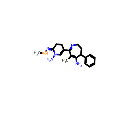 CP/N=C1/CCC(C2=NCCC(c3ccccc3)C(N)=C2C)=CN1N